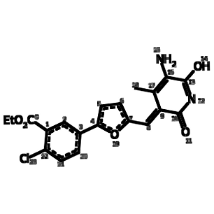 CCOC(=O)c1cc(-c2ccc(/C=C3/C(=O)N=C(O)C(N)=C3C)o2)ccc1Cl